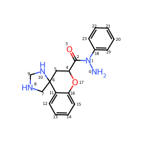 NN(C(=O)C1CC2(CNCN2)c2ccccc2O1)c1ccccc1